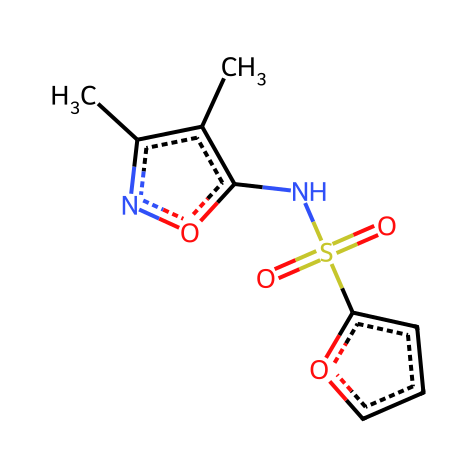 Cc1noc(NS(=O)(=O)c2ccco2)c1C